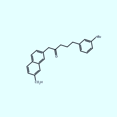 CCCCc1cccc(CCCC(=O)Cc2ccc3ccc(C(=O)O)cc3c2)c1